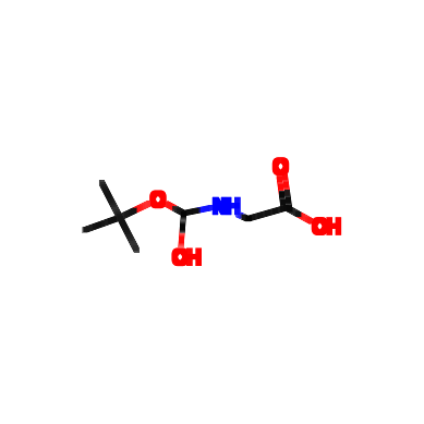 CC(C)(C)OC(O)NCC(=O)O